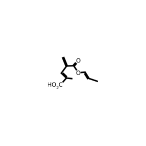 C=C(C=C(C)C(=O)O)C(=O)OC=CC